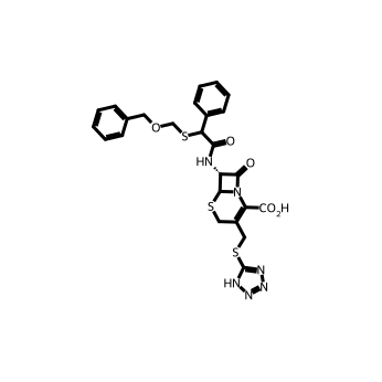 O=C(O)C1=C(CSc2nnn[nH]2)CSC2[C@H](NC(=O)C(SCOCc3ccccc3)c3ccccc3)C(=O)N12